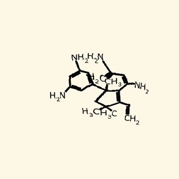 C=CC1=C(/C(N)=C\C(=C)N)C(C)(c2cc(N)cc(N)c2)CC1(C)C